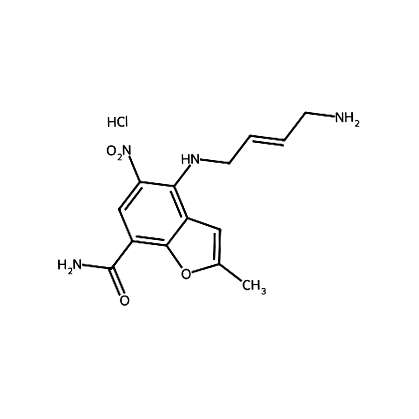 Cc1cc2c(NC/C=C/CN)c([N+](=O)[O-])cc(C(N)=O)c2o1.Cl